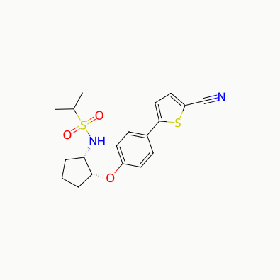 CC(C)S(=O)(=O)N[C@H]1CCC[C@H]1Oc1ccc(-c2ccc(C#N)s2)cc1